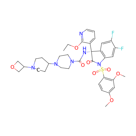 CCOc1ncccc1[C@]1(NC(=O)N2CCN(C3CCN(C4COC4)CC3)CC2)C(=O)N(S(=O)(=O)c2ccc(OC)cc2OC)c2cc(F)c(F)cc21